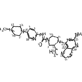 CC1CN(C(=O)Nc2ccc(N3CCN(C)CC3)cn2)CCN1c1nc(N)nc2scnc12